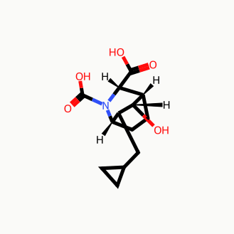 O=C(O)[C@@H]1[C@@H]2CC[C@@H](C(CC3CC3)[C@H]2O)N1C(=O)O